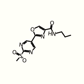 CCCNC(=O)c1coc(-c2cnc(S(C)(=O)=O)nc2)n1